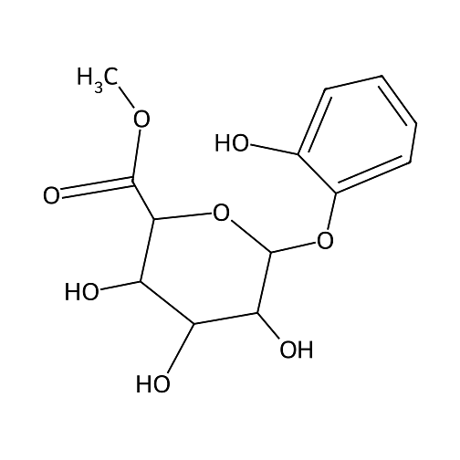 COC(=O)C1OC(Oc2ccccc2O)C(O)C(O)C1O